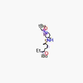 C=C(/C=C\C/C(=C\CC)OC(C)CC)SNC1(C)CCN(/[PH](=C/C)OC(C)(C)C)CC1